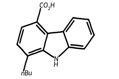 CCCCc1ccc(C(=O)O)c2c1[nH]c1ccccc12